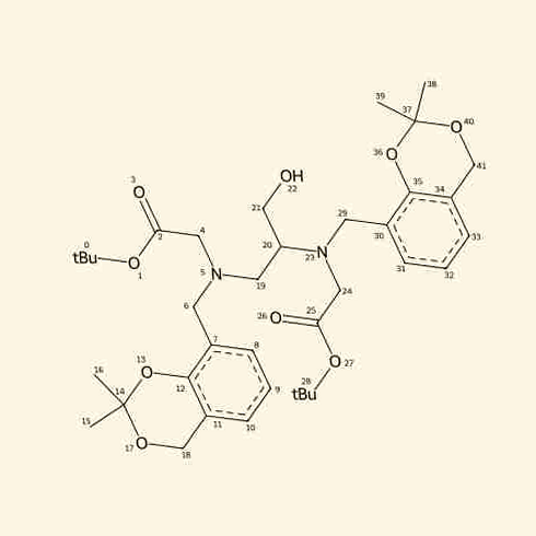 CC(C)(C)OC(=O)CN(Cc1cccc2c1OC(C)(C)OC2)CC(CO)N(CC(=O)OC(C)(C)C)Cc1cccc2c1OC(C)(C)OC2